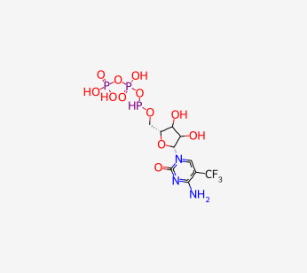 Nc1nc(=O)n([C@@H]2O[C@H](COPOP(=O)(O)OP(=O)(O)O)C(O)C2O)cc1C(F)(F)F